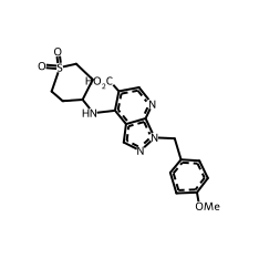 COc1ccc(Cn2ncc3c(NC4CCS(=O)(=O)CC4)c(C(=O)O)cnc32)cc1